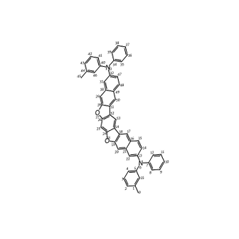 Cc1cccc(N(c2ccccc2)c2ccc3cc4c(cc3c2)oc2cc3oc5cc6cc(N(c7ccccc7)c7cccc(C)c7)ccc6cc5c3cc24)c1